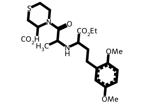 CCOC(=O)C(CCc1cc(OC)ccc1OC)NC(C)C(=O)N1CCSCC1C(=O)O